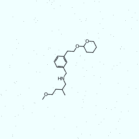 COCCC(C)CNCc1cccc(CCOC2CCCCO2)c1